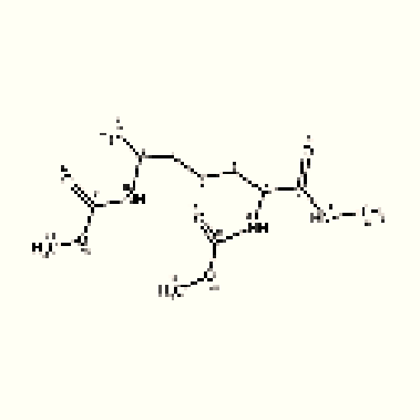 CNC(=O)C(CCCC(C)NC(=O)OC)NC(=O)OC